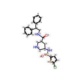 O=C(NCC(c1ccccc1)c1ccccc1)[C@@H]1CNC[C@H](N[S+]([O-])c2ccc(Cl)s2)C1